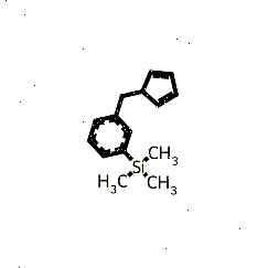 C[Si](C)(C)c1cccc(C[C]2C=CC=C2)c1